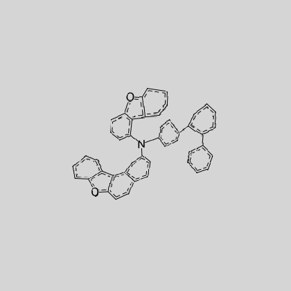 c1ccc(-c2ccccc2-c2ccc(N(c3ccc4ccc5oc6ccccc6c5c4c3)c3cccc4oc5ccccc5c34)cc2)cc1